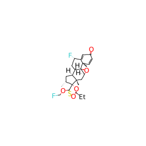 CCC(=O)O[C@]1(C(=S)OCF)[C@H](C)C[C@H]2[C@@H]3C[C@H](F)C4=CC(=O)C=C[C@]4(C)[C@@]34O[C@H]4C[C@@]21C